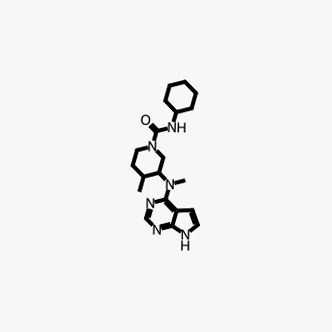 CC1CCN(C(=O)NC2CCCCC2)CC1N(C)c1ncnc2[nH]ccc12